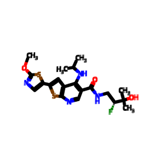 COc1ncc(-c2cc3c(NC(C)C)c(C(=O)NC[C@@H](F)C(C)(C)O)cnc3s2)s1